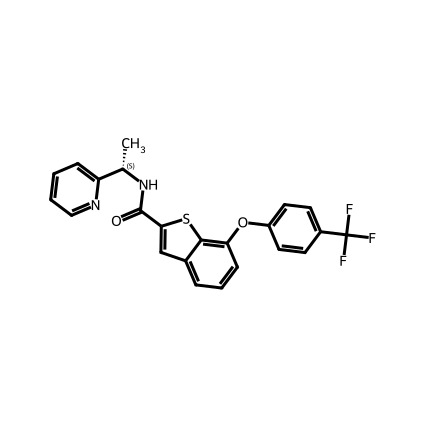 C[C@H](NC(=O)c1cc2cccc(Oc3ccc(C(F)(F)F)cc3)c2s1)c1ccccn1